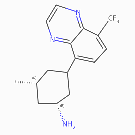 C[C@@H]1CC(c2ccc(C(F)(F)F)c3nccnc23)C[C@H](N)C1